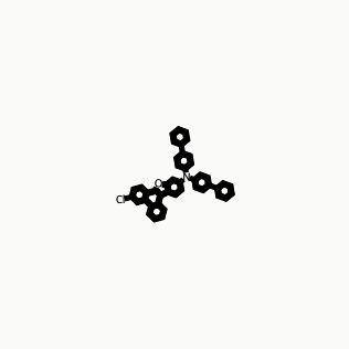 Clc1ccc2c(c1)c1ccccc1c1c3ccc(N(c4ccc(-c5ccccc5)cc4)c4ccc(-c5ccccc5)cc4)cc3oc21